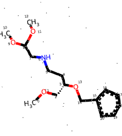 COC[C@H](CCNCC(OC)OC)OCc1ccccc1